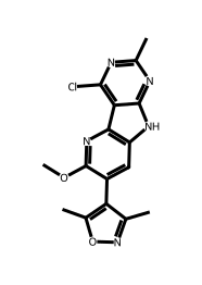 COc1nc2c(cc1-c1c(C)noc1C)[nH]c1nc(C)nc(Cl)c12